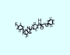 Cc1nn(-c2ccc(F)cc2)c2nc(N3CCC(NC(=O)COc4ccccc4)CC3)sc12